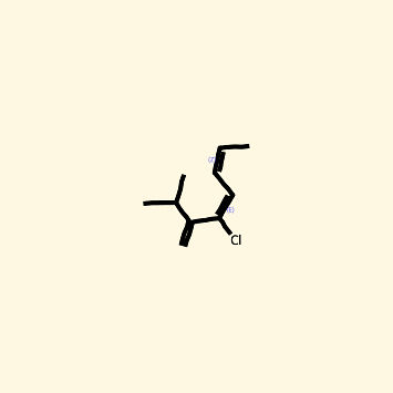 C=C(/C(Cl)=C\C=C/C)C(C)C